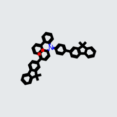 CC1(C)c2ccccc2-c2ccc(C3=CCC(N(c4ccc(-c5ccc6c(c5)C(C)(C)C5C=CC=CC65)cc4)c4ccccc4-c4ccccc4)C=C3)cc21